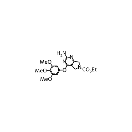 CCOC(=O)N1Cc2nc(N)nc(Oc3cc(OC)c(OC)c(OC)c3)c2C1